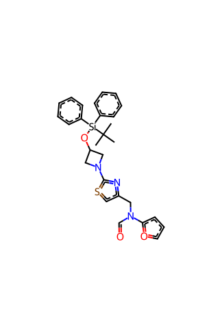 CC(C)(C)[Si](OC1CN(c2nc(CN(C=O)c3ccco3)cs2)C1)(c1ccccc1)c1ccccc1